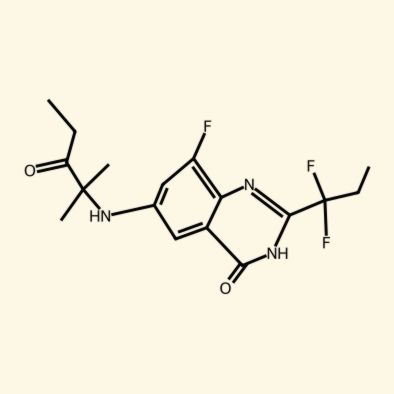 CCC(=O)C(C)(C)Nc1cc(F)c2nc(C(F)(F)CC)[nH]c(=O)c2c1